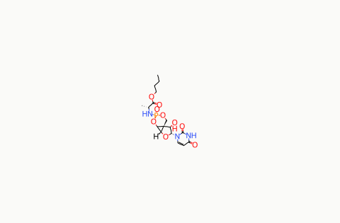 CCCCOC(=O)[C@@H](C)NP1(=O)OC[C@]23C(O1)[C@H]2O[C@@H](n1ccc(=O)[nH]c1=O)[C@@H]3O